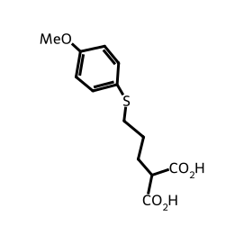 COc1ccc(SCCCC(C(=O)O)C(=O)O)cc1